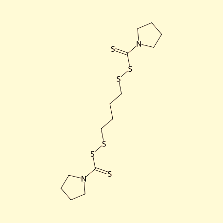 S=C(SSCCCCSSC(=S)N1CCCC1)N1CCCC1